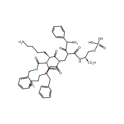 NCCCCCC(=O)N(CC(C(=O)N[C@@H](COP(=O)(O)O)C(=O)O)C(=O)N(c1ccccc1)[N+](=O)[O-])C(=O)[C@H](CCCCN)N(C(=O)OCc1ccccc1)C(=O)OCc1ccccc1